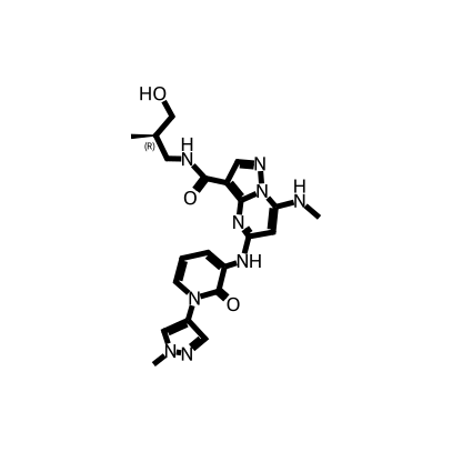 CNc1cc(Nc2cccn(-c3cnn(C)c3)c2=O)nc2c(C(=O)NC[C@@H](C)CO)cnn12